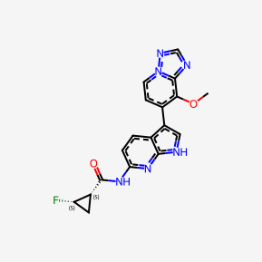 COc1c(-c2c[nH]c3nc(NC(=O)[C@@H]4C[C@@H]4F)ccc23)ccn2ncnc12